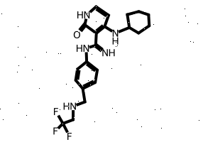 N=C(Nc1ccc(CNCC(F)(F)F)cc1)c1c(NC2CCCCC2)cc[nH]c1=O